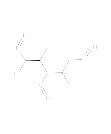 CCC(N=N)C(C)C(N=N)C(C)CN=N